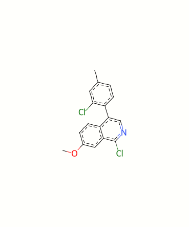 COc1ccc2c(-c3ccc(C)cc3Cl)cnc(Cl)c2c1